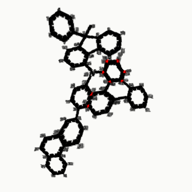 CC1(c2ccccc2)c2ccccc2-c2c(N(c3ccc(-c4ccc5c(ccc6ccccc65)c4)cc3)c3ccccc3-c3ccccc3-c3ccccc3-c3ccccc3)cccc21